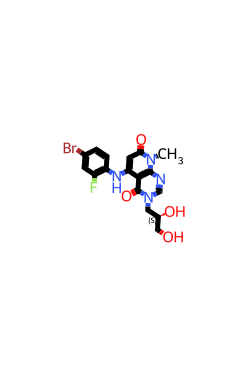 Cn1c(=O)cc(Nc2ccc(Br)cc2F)c2c(=O)n(C[C@H](O)CO)cnc21